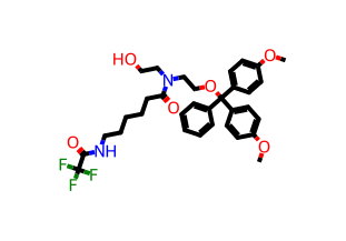 COc1ccc(C(OCCN(CCO)C(=O)CCCCCNC(=O)C(F)(F)F)(c2ccccc2)c2ccc(OC)cc2)cc1